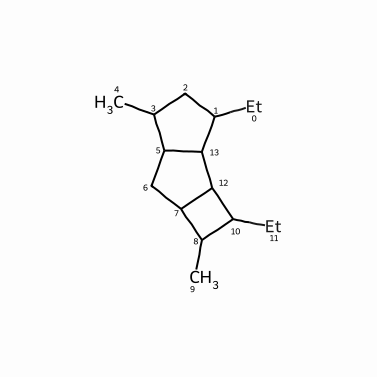 CCC1CC(C)C2CC3C(C)C(CC)C3C12